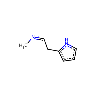 C/N=C\Cc1ccc[nH]1